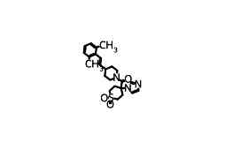 Cc1cccc(C)c1/C=C/C1CCN(C(=O)C2(n3ccnc3)CCS(=O)(=O)CC2)CC1